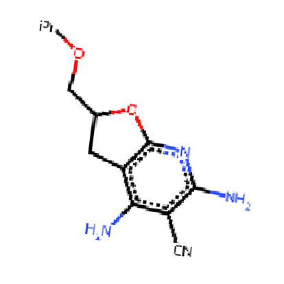 CC(C)OCC1Cc2c(nc(N)c(C#N)c2N)O1